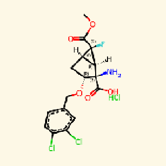 COC(=O)[C@@]1(F)[C@@H]2C[C@@H](OCc3ccc(Cl)c(Cl)c3)[C@@](N)(C(=O)O)[C@@H]21.Cl